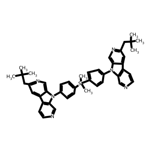 CC(C)(C)Cc1cc2c3ccncc3n(-c3ccc([Si](C)(C)c4ccc(-n5c6cnccc6c6cc(CC(C)(C)C)ncc65)cc4)cc3)c2cn1